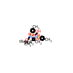 C=C1C(=C)[C@@H](N(CCO[Si](C)(C)C(C)(C)C)S(=O)(=O)c2ccc(C)cc2)[C@@H]1N(CCO)S(=O)(=O)c1ccc(C)cc1